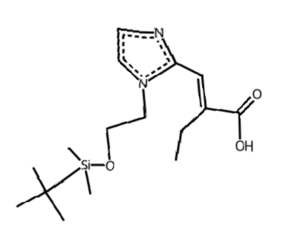 CC/C(=C\c1nccn1CCO[Si](C)(C)C(C)(C)C)C(=O)O